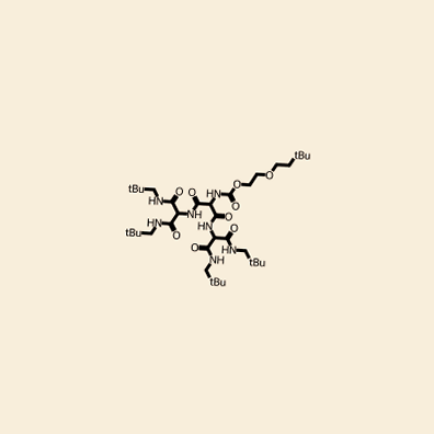 CC(C)(C)CCOCCOC(=O)NC(C(=O)NC(C(=O)NCC(C)(C)C)C(=O)NCC(C)(C)C)C(=O)NC(C(=O)NCC(C)(C)C)C(=O)NCC(C)(C)C